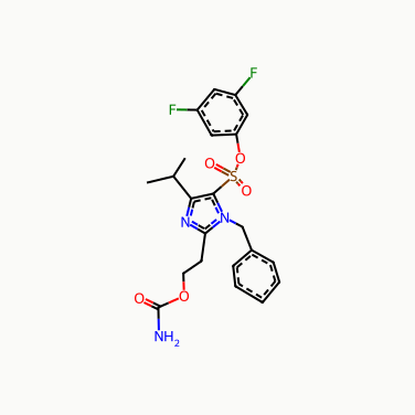 CC(C)c1nc(CCOC(N)=O)n(Cc2ccccc2)c1S(=O)(=O)Oc1cc(F)cc(F)c1